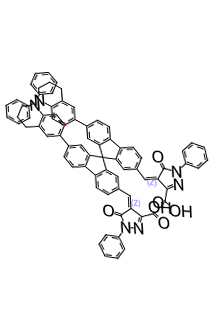 O=C(O)C1=NN(c2ccccc2)C(=O)/C1=C\c1ccc2c(c1)C1(c3cc(/C=C4\C(=O)N(c5ccccc5)N=C4C(=O)O)ccc3-c3ccc(-c4ccc5c(c4)CCCN5c4ccccc4)cc31)c1cc(-c3ccc4c(c3)CCCN4c3ccccc3)ccc1-2